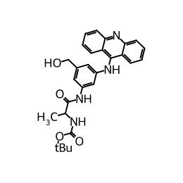 CC(NC(=O)OC(C)(C)C)C(=O)Nc1cc(CO)cc(Nc2c3ccccc3nc3ccccc23)c1